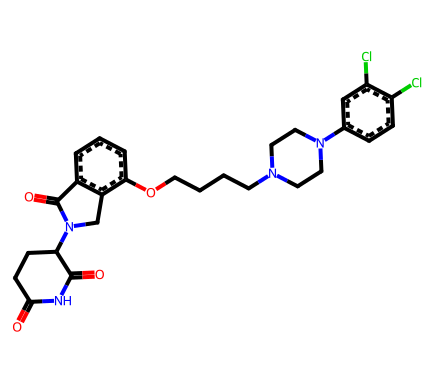 O=C1CCC(N2Cc3c(OCCCCN4CCN(c5ccc(Cl)c(Cl)c5)CC4)cccc3C2=O)C(=O)N1